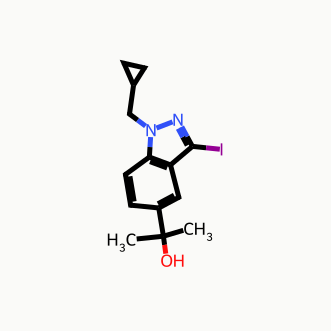 CC(C)(O)c1ccc2c(c1)c(I)nn2CC1CC1